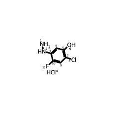 Cl.NNc1cc(O)c(Cl)cc1F